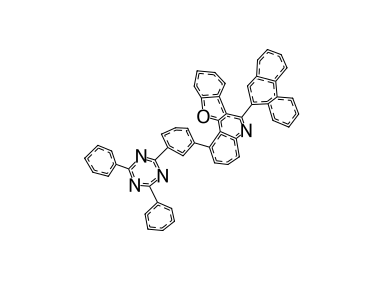 c1ccc(-c2nc(-c3ccccc3)nc(-c3cccc(-c4cccc5nc(-c6cc7ccccc7c7ccccc67)c6c7ccccc7oc6c45)c3)n2)cc1